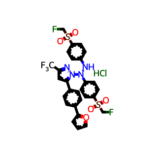 Cl.O=S(=O)(CF)c1ccc(NN(c2ccc(S(=O)(=O)CF)cc2)n2nc(C(F)(F)F)cc2-c2ccc(-c3ccco3)cc2)cc1